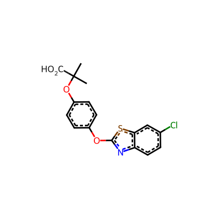 CC(C)(Oc1ccc(Oc2nc3ccc(Cl)cc3s2)cc1)C(=O)O